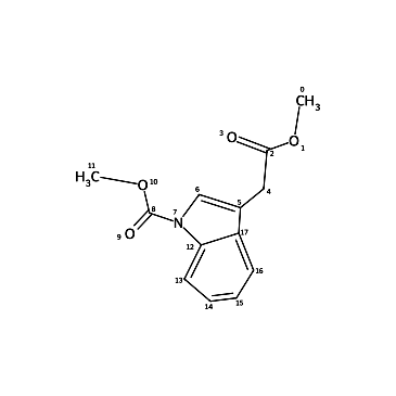 COC(=O)Cc1cn(C(=O)OC)c2ccccc12